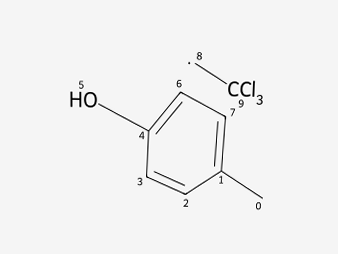 Cc1ccc(O)cc1.[CH2]C(Cl)(Cl)Cl